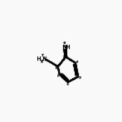 N=C1C=CC=CC1N